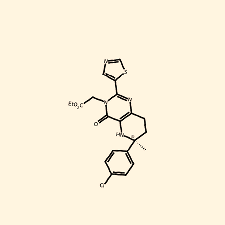 CCOC(=O)Cn1c(-c2cncs2)nc2c(c1=O)N[C@](C)(c1ccc(Cl)cc1)CC2